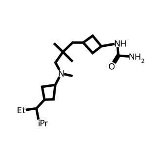 CCC(C(C)C)C1CC(N(C)CC(C)(C)CC2CC(NC(N)=O)C2)C1